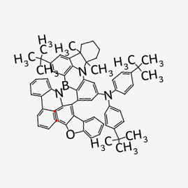 CC(C)(C)c1ccc(N(c2ccc(C(C)(C)C)cc2)c2cc3c4c(c2)N2c5c(cc(C(C)(C)C)cc5C5(C)CCCCC25C)B4N(c2ccccc2-c2ccccc2)c2ccc4oc5ccccc5c4c2-3)cc1